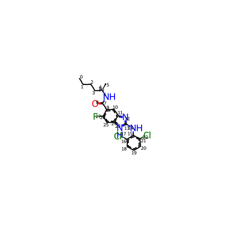 CCCC[C@@H](C)NC(=O)c1cc2nc(Nc3c(Cl)cccc3Cl)[nH]c2cc1F